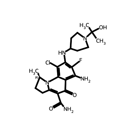 C[C@@H]1CCc2c(C(N)=O)c(=O)c3c(N)c(F)c(NC4CCN(C(C)(C)O)CC4)c(Cl)c3n21